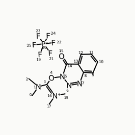 CN(C)C(On1nnc2ccccc2c1=O)=[N+](C)C.F[P-](F)(F)(F)(F)F